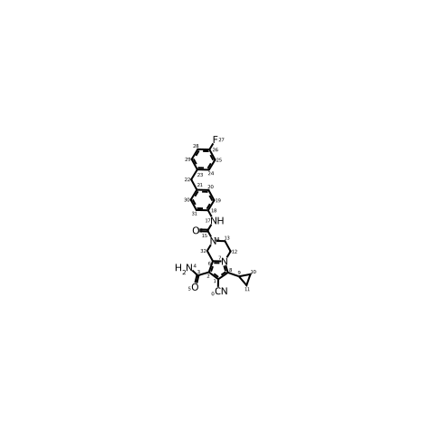 N#Cc1c(C(N)=O)c2n(c1C1CC1)CCN(C(=O)Nc1ccc(Cc3ccc(F)cc3)cc1)C2